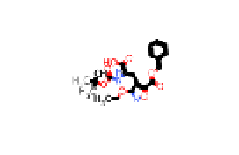 CCOc1noc(C(=O)OCc2ccccc2)c1CC(NC(=O)OC(C)(C)C)C(=O)O